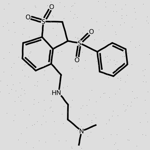 CN(C)CCNCc1cccc2c1C(S(=O)(=O)c1ccccc1)CS2(=O)=O